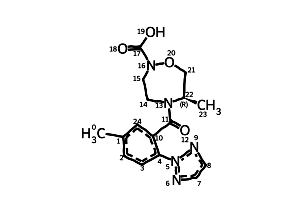 Cc1ccc(-n2nccn2)c(C(=O)N2CCN(C(=O)O)OC[C@H]2C)c1